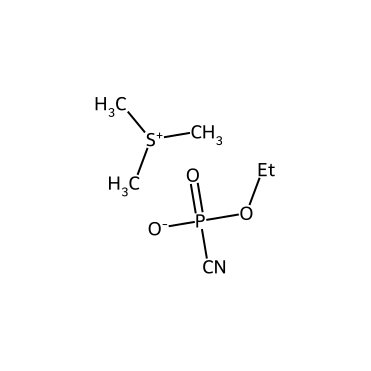 CCOP(=O)([O-])C#N.C[S+](C)C